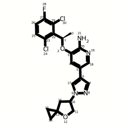 C[C@@H](Oc1cc(-c2cnn(C3COC4(CC4)C3)c2)cnc1N)c1c(Cl)ccc(F)c1Cl